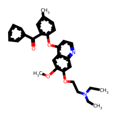 CCN(CC)CCOc1cc2nccc(Oc3ccc(C)cc3C(=O)c3ccccc3)c2cc1OC